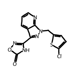 O=c1[nH]c(-c2nn(Cc3ccc(Cl)s3)c3ncccc23)no1